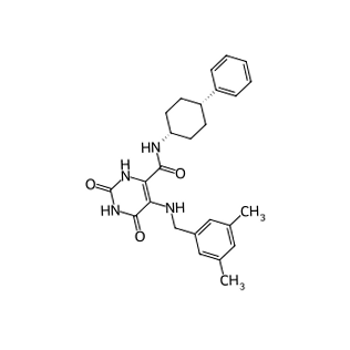 Cc1cc(C)cc(CNc2c(C(=O)N[C@H]3CC[C@@H](c4ccccc4)CC3)[nH]c(=O)[nH]c2=O)c1